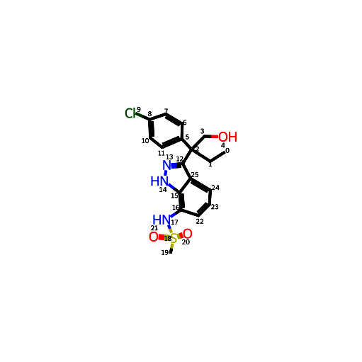 CCC(CO)(c1ccc(Cl)cc1)c1n[nH]c2c(NS(C)(=O)=O)cccc12